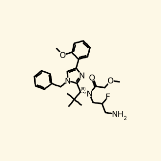 COCC(=O)N(CC(F)CN)[C@@H](c1nc(-c2ccccc2OC)cn1Cc1ccccc1)C(C)(C)C